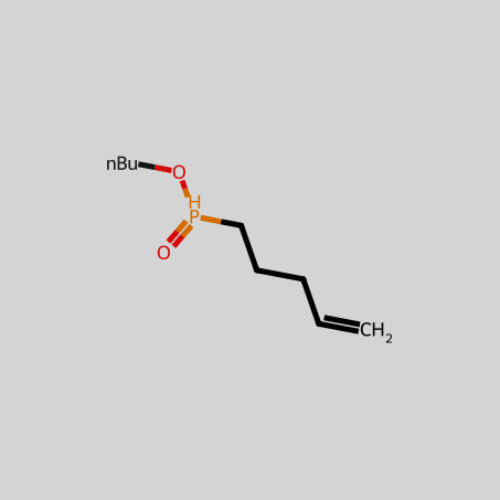 C=CCCC[PH](=O)OCCCC